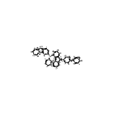 c1ccc(N(c2ccc3sc4ccccc4c3c2)c2cccc3c2c2ccccc2n3-c2ccc(-c3cccnc3)nc2)cc1